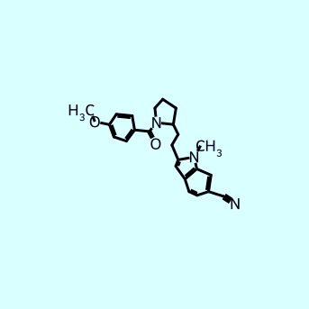 COc1ccc(C(=O)N2CCCC2CCc2cc3ccc(C#N)cc3n2C)cc1